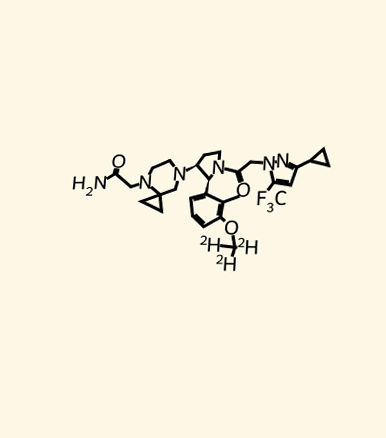 [2H]C([2H])([2H])Oc1cccc([C@H]2[C@@H](N3CCN(CC(N)=O)C4(CC4)C3)CCN2C(=O)Cn2nc(C3CC3)cc2C(F)(F)F)c1C